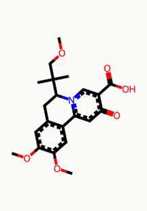 COCC(C)(C)C1Cc2cc(OC)c(OC)cc2-c2cc(=O)c(C(=O)O)cn21